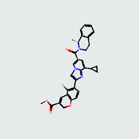 COC(=O)C1=Cc2c(ccc(-c3cn4cc(C(=O)N5CCc6ccccc6[C@H]5C)cc(C5CC5)c4n3)c2F)OC1